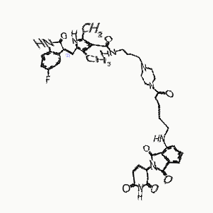 Cc1[nH]c(/C=C2\C(=O)Nc3ccc(F)cc32)c(C)c1C(=O)NCCCN1CCN(C(=O)CCCCNc2cccc3c2C(=O)N(C2CCC(=O)NC2=O)C3=O)CC1